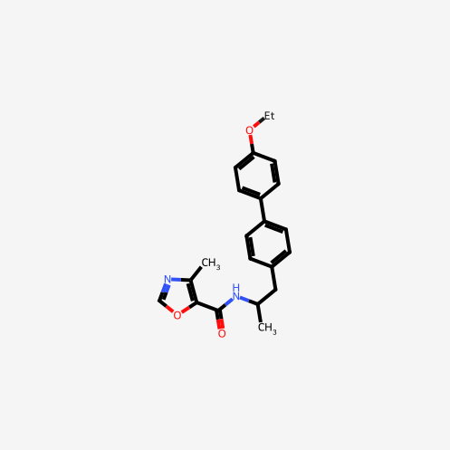 CCOc1ccc(-c2ccc(CC(C)NC(=O)c3ocnc3C)cc2)cc1